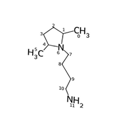 CC1CCC(C)N1CCCCN